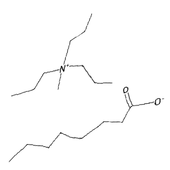 CCCCCCCC(=O)[O-].CCC[N+](C)(CCC)CCC